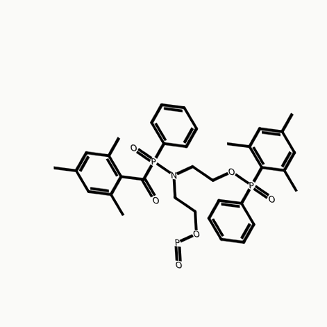 Cc1cc(C)c(C(=O)P(=O)(c2ccccc2)N(CCOP=O)CCOP(=O)(c2ccccc2)c2c(C)cc(C)cc2C)c(C)c1